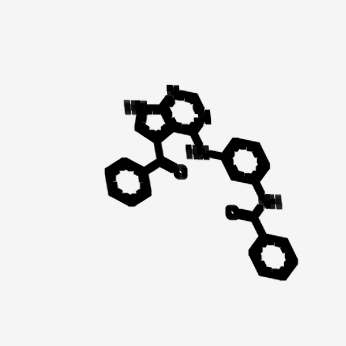 O=C(Nc1cccc(Nc2ncnc3[nH]cc(C(=O)c4ccccc4)c23)c1)c1ccccc1